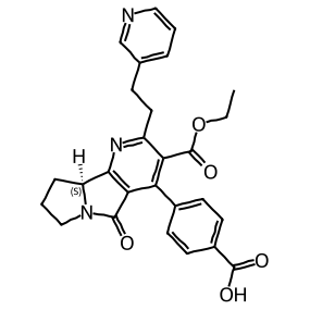 CCOC(=O)c1c(CCc2cccnc2)nc2c(c1-c1ccc(C(=O)O)cc1)C(=O)N1CCC[C@@H]21